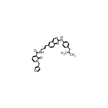 CN(C)Cc1ccc(Nc2ncc3cc(/C=C/CNC(=O)c4cccn(Cc5ccoc5)c4=O)ccc3n2)cc1